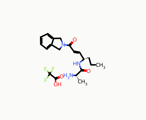 CCC[C@@H](/C=C/C(=O)N1Cc2ccccc2C1)NC(=O)[C@H](C)N.O=C(O)C(F)(F)F